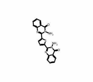 Nn1c(-c2ccc(-c3nc4ccccc4c(=O)n3N)s2)nc2ccccc2c1=O